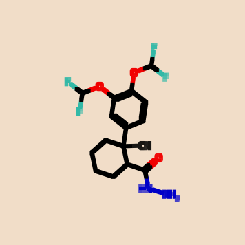 N#CC1(c2ccc(OC(F)F)c(OC(F)F)c2)CCCCC1C(=O)NN